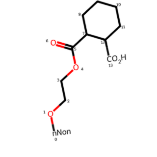 CCCCCCCCCOCCOC(=O)C1CCCCC1C(=O)O